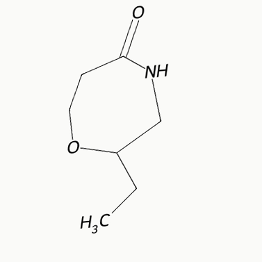 CCC1CNC(=O)CCO1